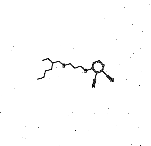 CCCCC(CC)CSCCCSc1cccc(C#N)c1C#N